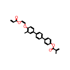 C=CC(=O)O/C=C\Oc1ccc(-c2ccc(-c3ccc(OC(=O)C(=C)C)cc3)cc2)cc1C